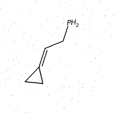 PCC=C1CC1